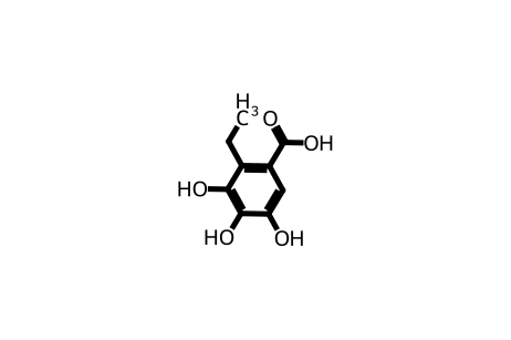 CCc1c(C(=O)O)cc(O)c(O)c1O